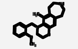 COc1ccccc1CN1CCOc2cc3c(c(C)c21)CCNCC3